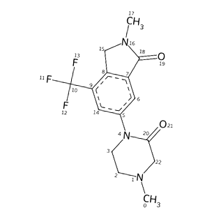 CN1CCN(c2cc3c(c(C(F)(F)F)c2)CN(C)C3=O)C(=O)C1